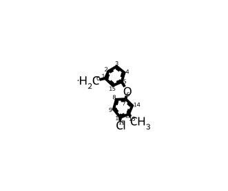 [CH2]c1cccc(Oc2ccc(Cl)c(C)c2)c1